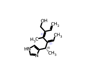 C=C/C(CO)=C(C)\C(=C/C)[C@H](C)c1c[nH]cn1